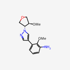 COc1c(N)cccc1-c1cnn([C@@H]2COC[C@H]2OC)c1